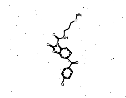 CCCCOCCCNC(=O)n1c(=O)oc2cc(C(=O)c3ccc(Cl)cc3)ccc21